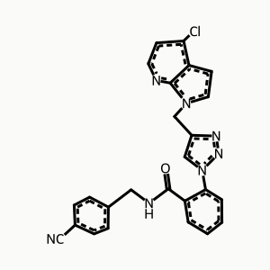 N#Cc1ccc(CNC(=O)c2ccccc2-n2cc(Cn3ccc4c(Cl)ccnc43)nn2)cc1